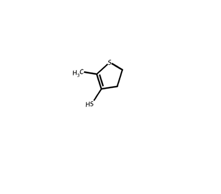 CC1=C(S)CCS1